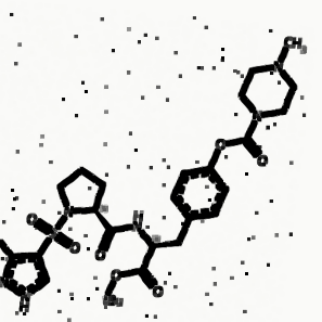 Cc1n[nH]cc1S(=O)(=O)N1CCC[C@H]1C(=O)N[C@@H](Cc1ccc(OC(=O)N2CCN(C)CC2)cc1)C(=O)OC(C)(C)C